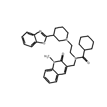 Cn1c(=O)c(CN(CCN2CCCC(c3nc4ccccc4o3)C2)C(=O)C2CCCCC2)cc2ccccc21